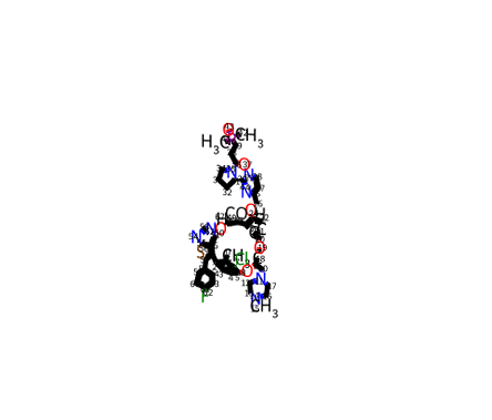 Cc1c2ccc(c1Cl)OC(CN1CCN(C)CC1)COc1ccc(OCc3ccnc([C@H]4CCCN4C(=O)CCP(C)(C)=O)n3)c(c1)C[C@H](C(=O)O)Oc1ncnc3sc(-c4ccc(F)cc4)c-2c13